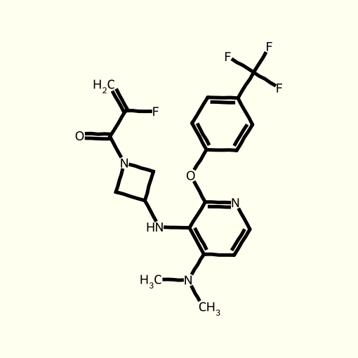 C=C(F)C(=O)N1CC(Nc2c(N(C)C)ccnc2Oc2ccc(C(F)(F)F)cc2)C1